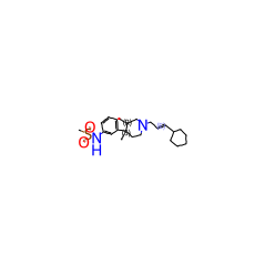 C[C@H]1CN(C/C=C/C2CCCCC2)CC[C@]1(C)c1cccc(NS(C)(=O)=O)c1